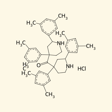 Cc1cc(C)cc(C2CC(C(=O)C3(c4cc(C)cc(C)c4)CCNC(c4cc(C)cc(C)c4)C3)(c3cc(C)cc(C)c3)CCN2)c1.Cl